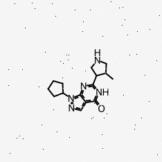 CC1CNCC1c1nc2c(cnn2C2CCCC2)c(=O)[nH]1